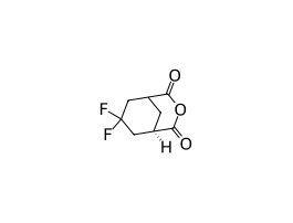 O=C1OC(=O)[C@@H]2CC1CC(F)(F)C2